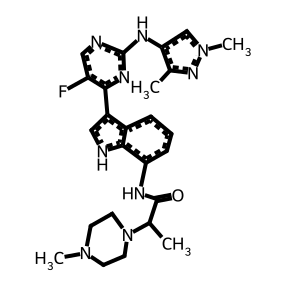 Cc1nn(C)cc1Nc1ncc(F)c(-c2c[nH]c3c(NC(=O)C(C)N4CCN(C)CC4)cccc23)n1